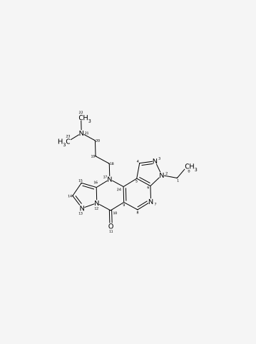 CCn1ncc2c1ncc1c(=O)n3nccc3n(CCCN(C)C)c12